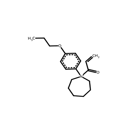 C=CC(=O)[N+]1(c2ccc(OCCC)cc2)CCCCCC1